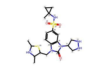 CC1NC(C)C(Cn2c(=O)n(C3CNNC3)c3cc(S(=O)(=O)NC4(C)CC4)ccc32)S1